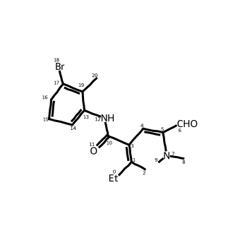 CC/C(C)=C(/C=C(/C=O)N(C)C)C(=O)Nc1cccc(Br)c1C